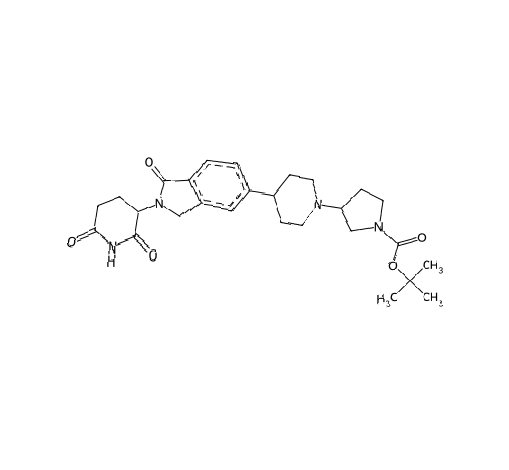 CC(C)(C)OC(=O)N1CCC(N2CCC(c3ccc4c(c3)CN(C3CCC(=O)NC3=O)C4=O)CC2)C1